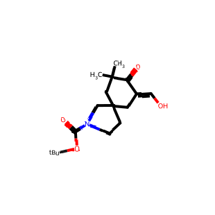 CC(C)(C)OC(=O)N1CCC2(CC(=CO)C(=O)C(C)(C)C2)C1